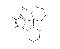 Cc1sccc1C1(N2CCCCC2)CCCCC1